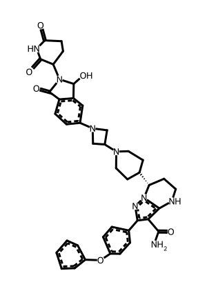 NC(=O)c1c(-c2ccc(Oc3ccccc3)cc2)nn2c1NCC[C@H]2C1CCN(C2CN(c3ccc4c(c3)C(O)N(C3CCC(=O)NC3=O)C4=O)C2)CC1